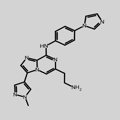 Cn1cc(-c2cnc3c(Nc4ccc(-n5ccnc5)cc4)nc(CCN)cn23)cn1